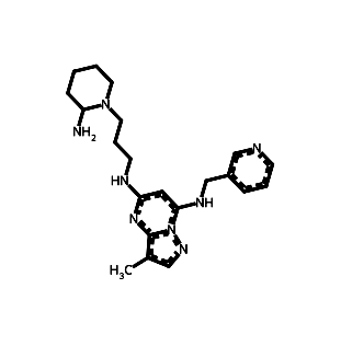 Cc1cnn2c(NCc3cccnc3)cc(NCCCN3CCCCC3N)nc12